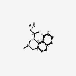 CC(C)Cc1ccc2ccccc2c1CC(C)C.S